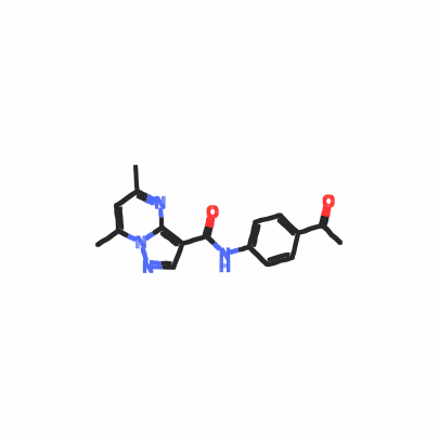 CC(=O)c1ccc(NC(=O)c2cnn3c(C)cc(C)nc23)cc1